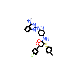 Cc1ccc(SC(CC(=O)c2ccc(F)cc2)C(=O)N[C@H]2CC[C@@H](Nc3nc(N(C)C)c4ccccc4n3)CC2)cc1